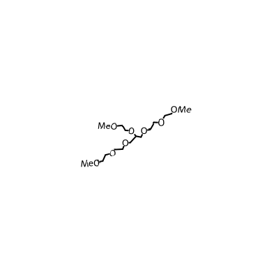 COCCOCCOCC(COCCOCCOC)OCCOC